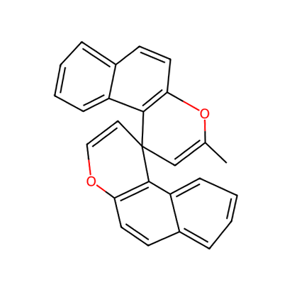 CC1=CC2(C=COc3ccc4ccccc4c32)c2c(ccc3ccccc23)O1